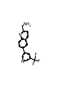 NCc1ccc2cc(-c3cncc(C(F)(F)F)c3)ccc2n1